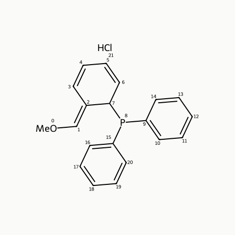 COC=C1C=CC=CC1P(c1ccccc1)c1ccccc1.Cl